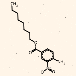 CCCCCCCCOC(=O)c1ccc(N)c([N+](=O)[O-])c1